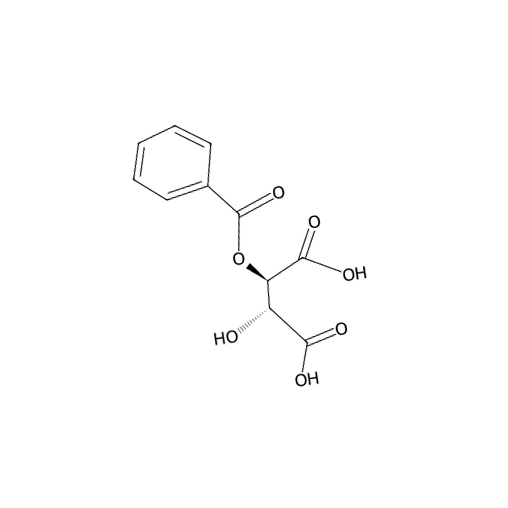 O=C(O[C@@H](C(=O)O)[C@@H](O)C(=O)O)c1ccccc1